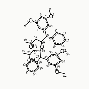 COc1cc(OC)cc(C(c2ccccc2)C(CC(C)O)OC(CC(C)O)C(c2ccccc2)c2cc(OC)cc(OC)c2)c1